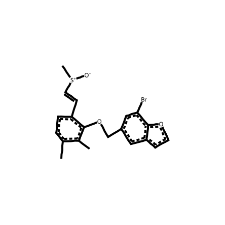 Cc1ccc(C=C[S+](C)[O-])c(OCc2cc(Br)c3occc3c2)c1C